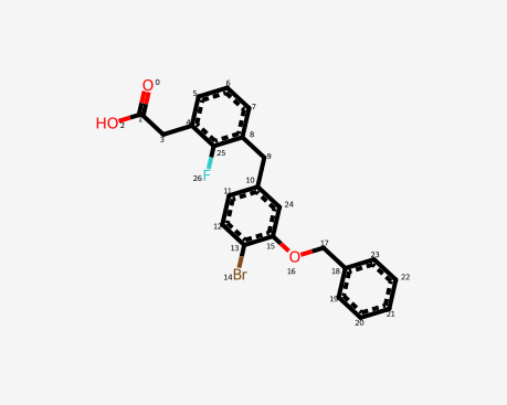 O=C(O)Cc1cccc(Cc2ccc(Br)c(OCc3ccccc3)c2)c1F